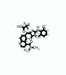 CN(C)C(=O)c1ccnc2ccc(C=C3SC(Nc4c(Cl)cccc4Cl)=NC3=O)cc12.O=C(O)C(F)(F)F